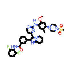 COc1cc(N2CCN(S(C)(=O)=O)CC2)c(C)cc1Nc1nccc(-c2c(-c3cccc(C(=O)Nc4c(F)cccc4F)c3)nc3ccccn23)n1